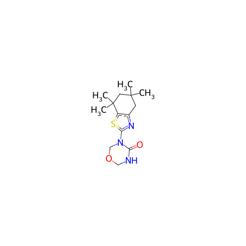 CC1(C)Cc2nc(N3COCNC3=O)sc2C(C)(C)C1